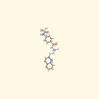 CN(CCc1ccc2ccccc2n1)CC(=O)c1ccc(NS(C)(=O)=O)cc1